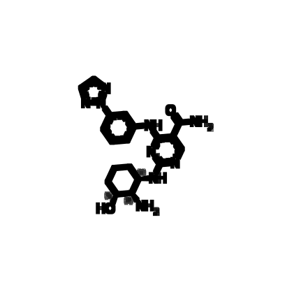 NC(=O)c1cnc(N[C@@H]2CCC[C@H](O)[C@@H]2N)nc1Nc1cccc(-n2nccn2)c1